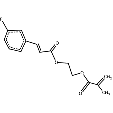 C=C(C)C(=O)OCCOC(=O)/C=C/c1cccc(F)c1